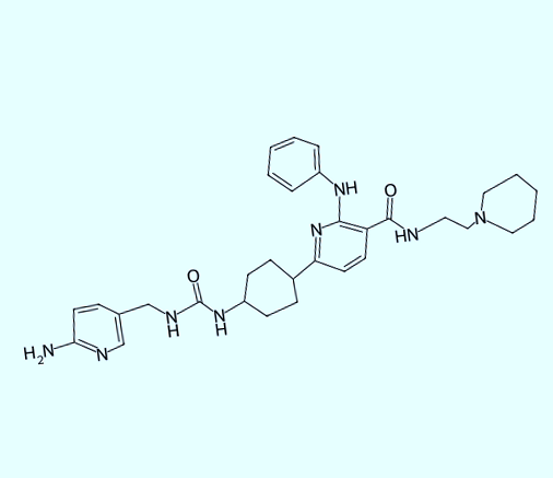 Nc1ccc(CNC(=O)NC2CCC(c3ccc(C(=O)NCCN4CCCCC4)c(Nc4ccccc4)n3)CC2)cn1